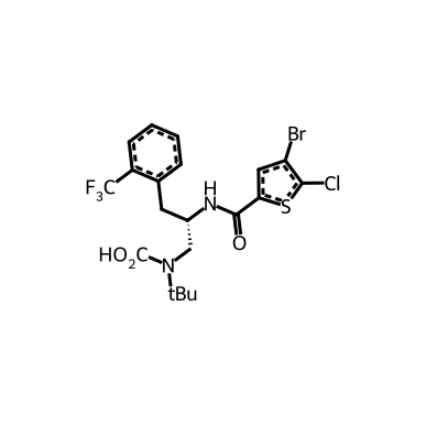 CC(C)(C)N(C[C@H](Cc1ccccc1C(F)(F)F)NC(=O)c1cc(Br)c(Cl)s1)C(=O)O